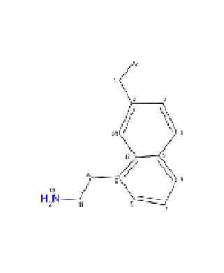 CCc1ccc2cccc(CCN)c2c1